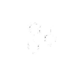 CSc1ccc(-c2nc(Cl)nc(SC)c2-c2ccc(C)cc2)cc1